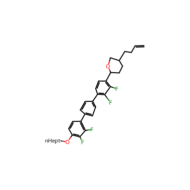 C=CCCC1CCC(c2ccc(-c3ccc(-c4ccc(OCCCCCCC)c(F)c4F)cc3)c(F)c2F)OC1